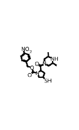 CC1CN(C(=O)C2CC(S)CN2C(=O)OCc2ccc([N+](=O)[O-])cc2)CC(C)N1